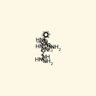 C[C@H](NC(=O)[C@H](CCCNC(=N)N)NC(=O)[C@H](C)NC(=O)c1ccccc1)C(N)=O